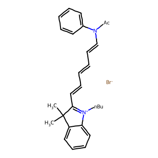 CCCC[N+]1=C(/C=C/C=C/C=C/N(C(C)=O)c2ccccc2)C(C)(C)c2ccccc21.[Br-]